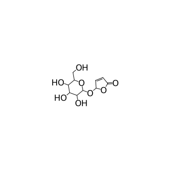 O=C1C=CC(OC2OC(CO)C(O)C(O)C2O)O1